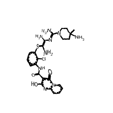 CC1(N)CCN(/C(N)=N/C(N)=C(\N)Sc2cccc(NC(=O)c3c(O)nc4ccccn4c3=O)c2Cl)CC1